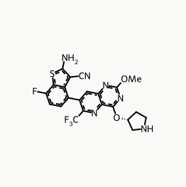 COc1nc(O[C@@H]2CCNC2)c2nc(C(F)(F)F)c(-c3ccc(F)c4sc(N)c(C#N)c34)cc2n1